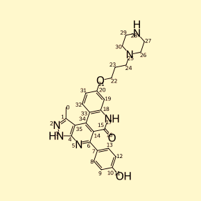 Cc1n[nH]c2nc(-c3ccc(O)cc3)c3c(=O)[nH]c4cc(OCCCN5CCNCC5)ccc4c3c12